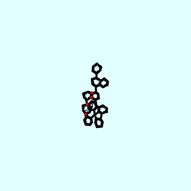 c1ccc(-c2ccccc2N(c2ccc(-c3ccc(-c4ccccc4)c4ccccc34)cc2)c2cccc3c2C2(c4ccccc4Sc4ccccc42)c2ccccc2-3)cc1